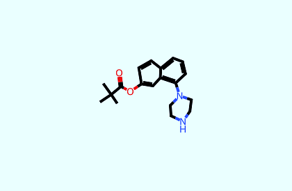 CC(C)(C)C(=O)Oc1ccc2cccc(N3CCNCC3)c2c1